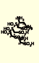 NCCN.O=S(=O)(O)CS(=O)(=O)O.O=S(=O)(O)CS(=O)(=O)O.O=S(=O)(O)CS(=O)(=O)O.O=S(=O)(O)CS(=O)(=O)O